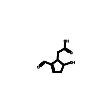 O=CC1=CCC(O)C1CC(=O)O